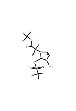 CN1C=CN(C(F)(F)C(F)OC(F)(F)F)C1OS(=O)(=O)C(F)(F)F